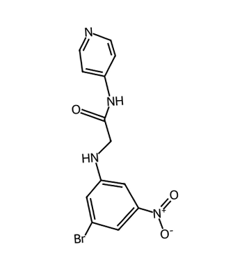 O=C(CNc1cc(Br)cc([N+](=O)[O-])c1)Nc1ccncc1